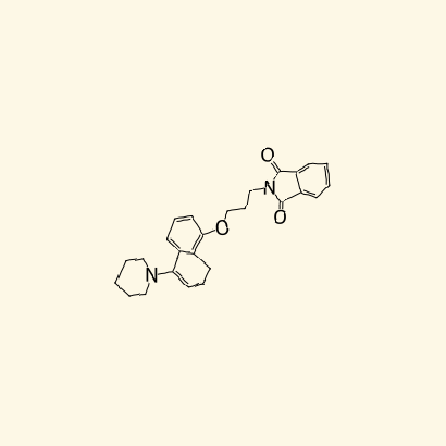 O=C1c2ccccc2C(=O)N1CCCOc1cccc2c1CCC=C2N1CCCCC1